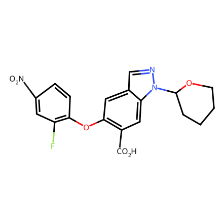 O=C(O)c1cc2c(cnn2C2CCCCO2)cc1Oc1ccc([N+](=O)[O-])cc1F